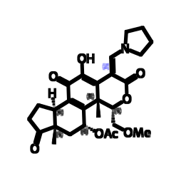 COC[C@H]1OC(=O)/C(=C\N2CCCC2)C2=C(O)C(=O)C3=C([C@H](OC(C)=O)C[C@]4(C)C(=O)CC[C@@H]34)[C@]21C